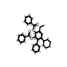 CCc1cc(C2CCCCC2)c(-c2ccccc2)c(OC(=O)c2ccccc2)c1OC(=O)c1ccccc1